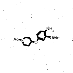 COc1cc(OC2CCN(C(C)=O)CC2)ccc1N